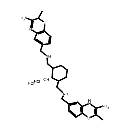 CC1=C(N)Nc2cc(CNCC3CCCC(CNCc4ccc5c(c4)N=C(N)C(C)O5)C3)ccc2O1.Cl.Cl.Cl